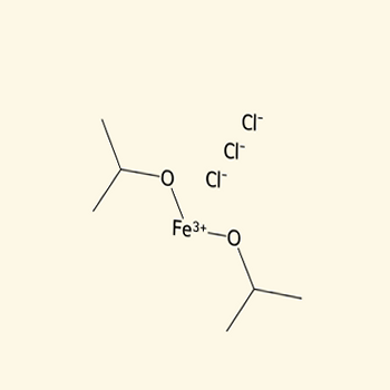 CC(C)[O][Fe+3][O]C(C)C.[Cl-].[Cl-].[Cl-]